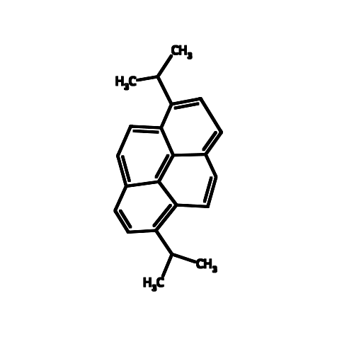 CC(C)c1ccc2ccc3c(C(C)C)ccc4ccc1c2c43